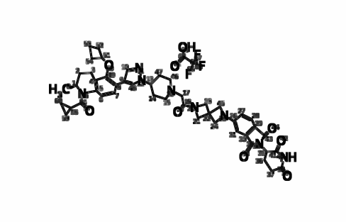 C[C@H]1CCc2c(ccc(-c3cnn(C4CCN(CC(=O)N5CC6(C5)CN(c5ccc7c(c5)C(=O)N(C5CCC(=O)NC5=O)C7=O)C6)CC4)c3)c2OC2CCC2)N1C(=O)C1CC1.O=C(O)C(F)(F)F